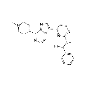 [CH2]CC(Nc1nccc(-c2cnc3c(N4CCN(C)CC4)nccn23)n1)c1ccccc1